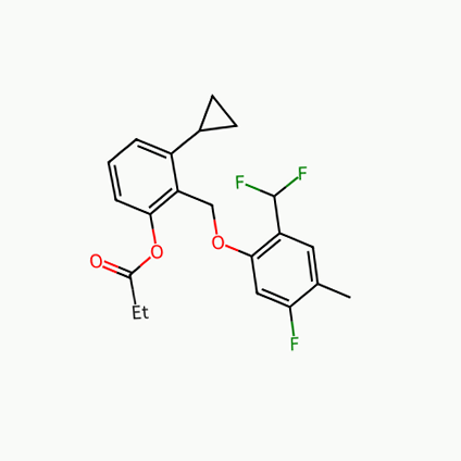 CCC(=O)Oc1cccc(C2CC2)c1COc1cc(F)c(C)cc1C(F)F